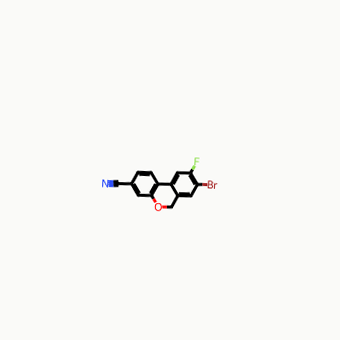 N#Cc1ccc2c(c1)OCc1cc(Br)c(F)cc1-2